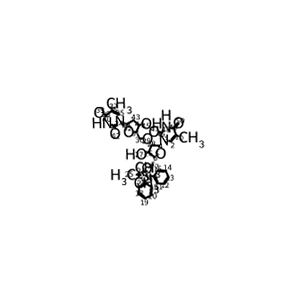 Cc1cn([C@@H]2O[C@H](CO[Si](c3ccccc3)(c3ccccc3)C(C)(C)C)C(O)C2OC[C@H]2O[C@@H](n3cc(C)c(=O)[nH]c3=O)CC2O)c(=O)[nH]c1=O